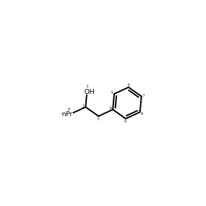 CC[CH]C(O)Cc1ccccc1